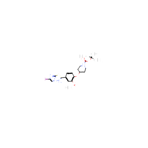 COc1cc(-c2nn3cc(I)nc3s2)ccc1OC1CCN(C(=O)OC(C)(C)C)CC1